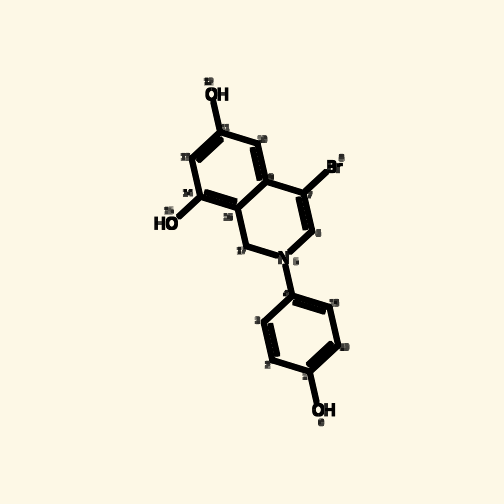 Oc1ccc(N2C=C(Br)c3cc(O)cc(O)c3C2)cc1